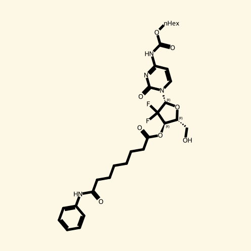 CCCCCCOC(=O)Nc1ccn([C@@H]2O[C@H](CO)[C@@H](OC(=O)CCCCCCC(=O)Nc3ccccc3)C2(F)F)c(=O)n1